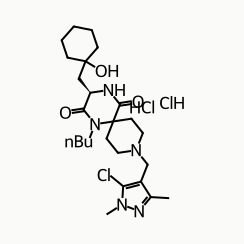 CCCCN1C(=O)[C@@H](CC2(O)CCCCC2)NC(=O)C12CCN(Cc1c(C)nn(C)c1Cl)CC2.Cl.Cl